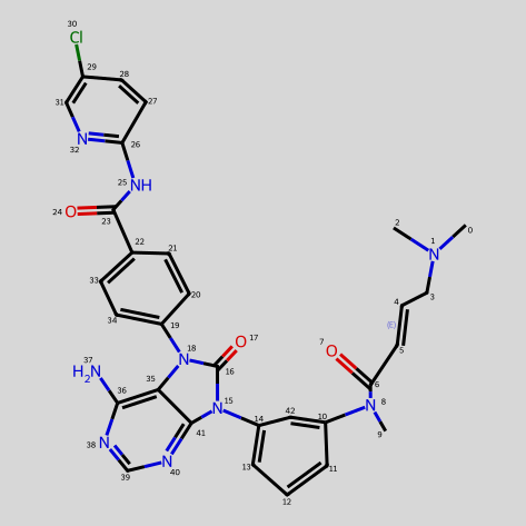 CN(C)C/C=C/C(=O)N(C)c1cccc(-n2c(=O)n(-c3ccc(C(=O)Nc4ccc(Cl)cn4)cc3)c3c(N)ncnc32)c1